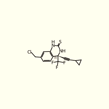 FC(F)(F)[C@@]1(C#CC2CC2)NC(=S)Nc2cc(CCl)ccc21